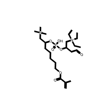 C=C(C)C(=O)OCCCCCC(C[N+](C)(C)C)OP(=O)(O)OC(CC=O)C[N+](CC)(CC)CC